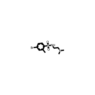 Cc1cc(Br)ccc1S(=O)(=O)NCCN(C)C